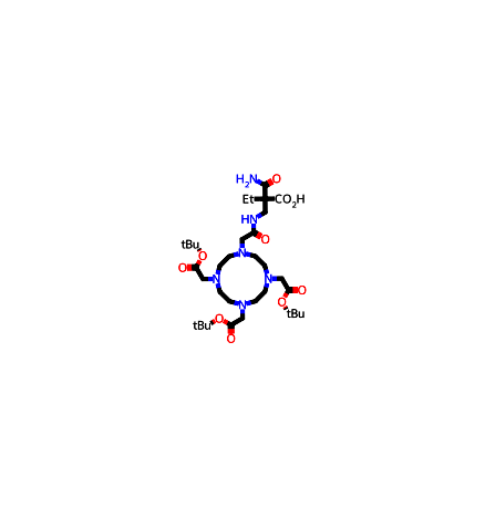 CCC(CNC(=O)CN1CCN(CC(=O)OC(C)(C)C)CCN(CC(=O)OC(C)(C)C)CCN(CC(=O)OC(C)(C)C)CC1)(C(N)=O)C(=O)O